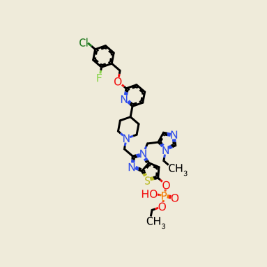 CCOP(=O)(O)Oc1cc2c(nc(CN3CCC(c4cccc(OCc5ccc(Cl)cc5F)n4)CC3)n2Cc2cncn2CC)s1